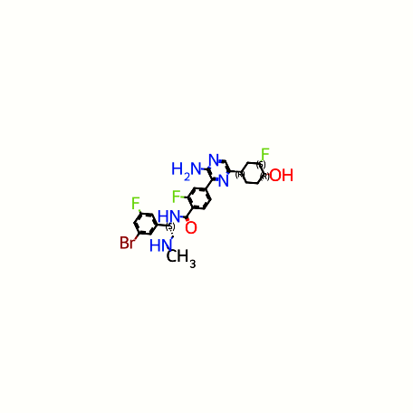 CNC[C@@H](NC(=O)c1ccc(-c2nc([C@@H]3CC[C@@H](O)[C@@H](F)C3)cnc2N)cc1F)c1cc(F)cc(Br)c1